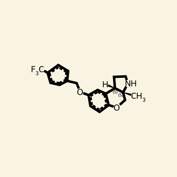 C[C@@]12COc3ccc(OCc4ccc(C(F)(F)F)cc4)cc3[C@@H]1CCN2